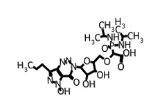 CCCc1nn(O)c2c(=O)n(C3OC(COC(C(=O)O)P(=O)(NC(C)C)NC(C)C)C(O)C3O)nnc12